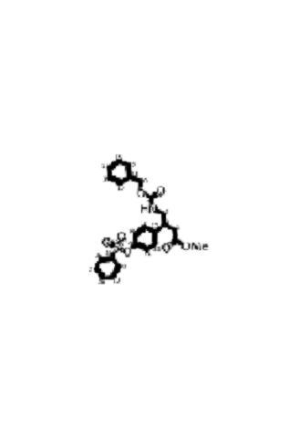 COC(=O)CC(CNC(=O)OCc1ccccc1)c1ccc(OS(=O)(=O)c2ccccc2)cc1